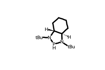 CC(C)(C)N1PN(C(C)(C)C)[C@@H]2CCCC[C@H]21